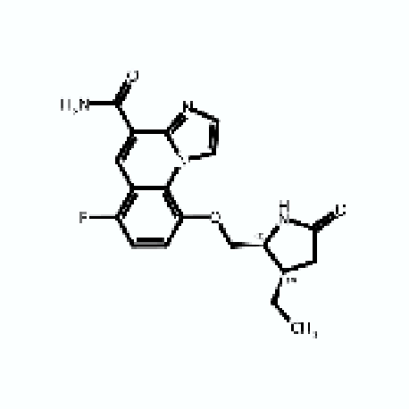 CC[C@@H]1CC(=O)N[C@@H]1COc1ccc(F)c2cc(C(N)=O)c3nccn3c12